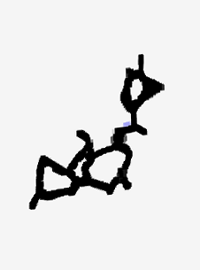 C/C(=C\C1CN(C)Cc2c1n(C)c1ccc(C)cc21)c1ccc(C)nc1